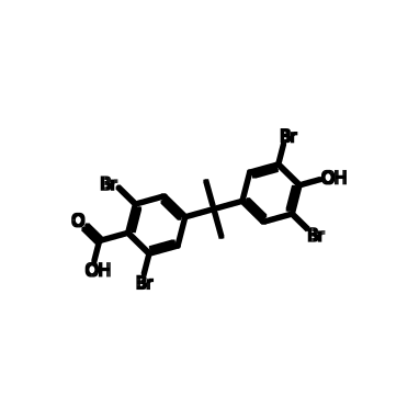 CC(C)(c1cc(Br)c(O)c(Br)c1)c1cc(Br)c(C(=O)O)c(Br)c1